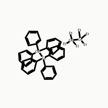 C[CH2][Ge]([CH2]C)([CH2]C)[Ge]([CH2]C)([CH2]C)[CH2]C.c1cc[c]([Ge]([c]2ccccc2)([c]2ccccc2)[Ge]([c]2ccccc2)([c]2ccccc2)[c]2ccccc2)cc1